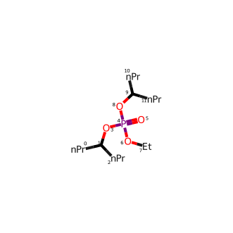 CCCC(CCC)OP(=O)(OCC)OC(CCC)CCC